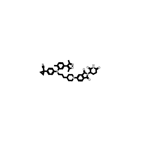 Cc1ccc(-c2c(C)noc2C)cc1N(CCCC1CCN(c2ccc3c(c2)C(=O)N(C2CCC(=O)NC2=O)C3=O)CC1)c1ccc(C2(C#N)CC2)cc1